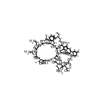 CCN(CC)CCNC(=O)c1c(C)[nH]c(/C=C2\C(=O)N(COC(=O)N[C@H](C(=O)N[C@@H](CCN)C(=O)N[C@H]3CCNC(=O)[C@H]([C@@H](C)O)NC(=O)[C@H](CCN)NC(=O)[C@H](CCN)NC(=O)[C@H](CC(C)C)NC(=O)[C@@H](Cc4ccccc4)NC(=O)[C@H](CCN)NC3=O)[C@@H](C)O)c3ccc(F)cc32)c1C